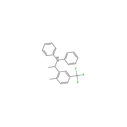 Cc1ccc(C(F)(F)F)cc1C(C)[SiH](c1ccccc1)c1ccccc1